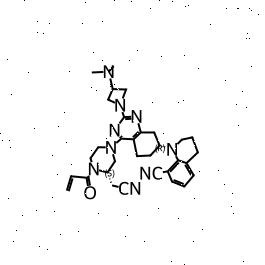 C=CC(=O)N1CCN(c2nc(N3CC(N(C)C)C3)nc3c2CC[C@@H](N2CCCc4cccc(C#N)c42)C3)C[C@@H]1CC#N